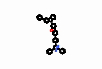 c1ccc(C2=NC(c3ccccc3)=NC(c3ccc(-c4ccc5c(c4)oc4cc([C@H]6c7ccccc7-c7cc(-c8ccccc8)ccc76)ccc45)cc3)C2)cc1